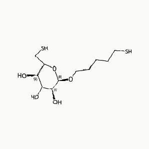 OC1[C@@H](O)C(CS)O[C@@H](OCCCCCS)[C@H]1O